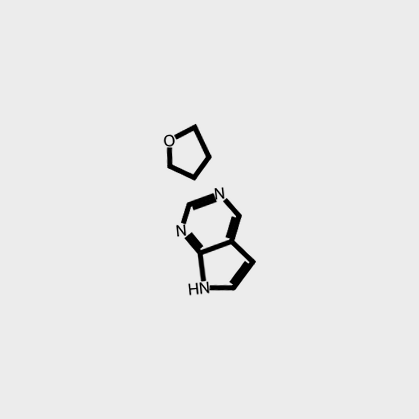 C1CCOC1.c1ncc2cc[nH]c2n1